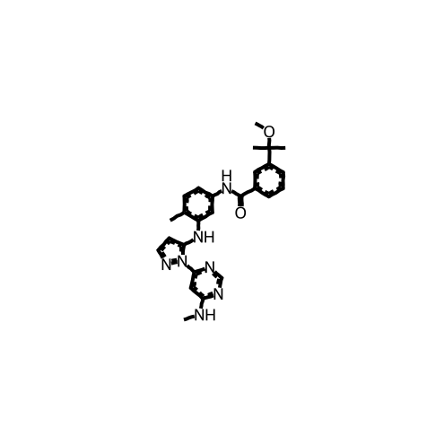 CNc1cc(-n2nccc2Nc2cc(NC(=O)c3cccc(C(C)(C)OC)c3)ccc2C)ncn1